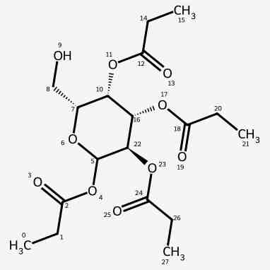 CCC(=O)OC1O[C@H](CO)[C@H](OC(=O)CC)[C@H](OC(=O)CC)[C@H]1OC(=O)CC